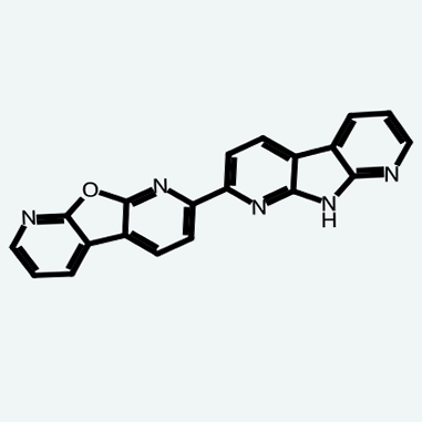 c1cnc2[nH]c3nc(-c4ccc5c(n4)oc4ncccc45)ccc3c2c1